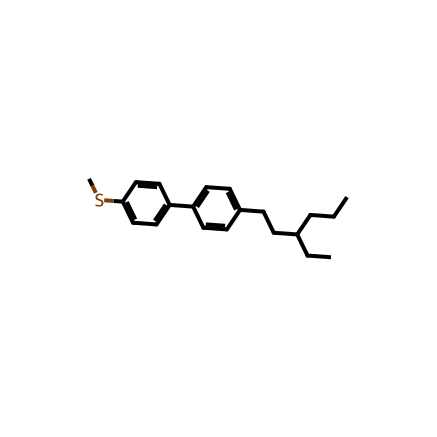 CCCC(CC)CCc1ccc(-c2ccc(SC)cc2)cc1